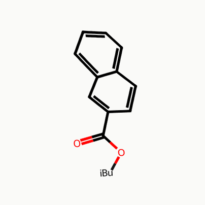 CCC(C)OC(=O)c1ccc2ccccc2c1